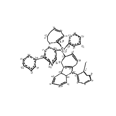 CC1CC=CC=C1N1C2=C(CC(S(C3=CC=CCC3)(c3ccccc3)c3ccc(-c4ccccc4)nc3)C=C2)C2C=CC=CC21